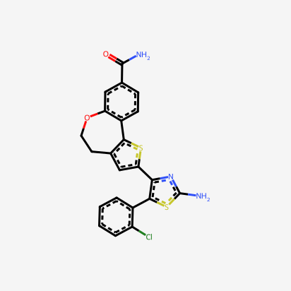 NC(=O)c1ccc2c(c1)OCCc1cc(-c3nc(N)sc3-c3ccccc3Cl)sc1-2